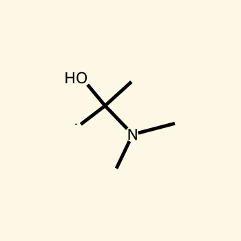 [CH2]C(C)(O)N(C)C